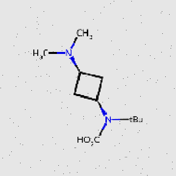 CN(C)[C@H]1C[C@@H](N(C(=O)O)C(C)(C)C)C1